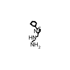 NCCNCc1csc(-c2ccccc2)n1